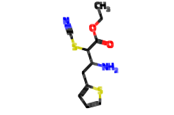 CCOC(=O)C(SC#N)C(N)Cc1cccs1